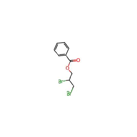 O=C(OCC(Br)CBr)c1ccccc1